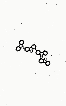 c1ccc2c(c1)oc1c(-n3c4ccccc4c4cc(-c5cccc6c5oc5ccc(-n7c8ccccc8c8ccccc87)cc56)ccc43)cccc12